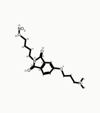 CN(C)CCCOc1ccc2c(c1)C(=O)N(CCCCO[N+](=O)[O-])C2=O